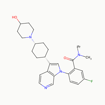 CC(C)N(C)C(=O)c1cc(F)ccc1-n1cc([C@H]2CC[C@@H](N3CCC(O)CC3)CC2)c2ccncc21